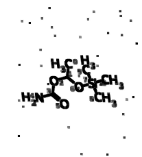 CC(OC(N)=O)O[Si](C)(C)C